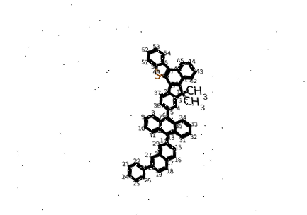 CC1(C)c2cc(-c3c4ccccc4c(-c4ccc5ccc(-c6ccccc6)cc5c4)c4ccccc34)ccc2-c2c1c1ccccc1c1c2sc2ccccc21